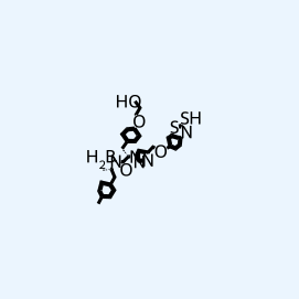 BN(C(=O)[C@H](Cc1ccc(OCCO)cc1)n1cc(COc2ccc3nc(S)sc3c2)nn1)[C@@H](C)Cc1ccc(C)cc1